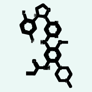 C=CC(=O)Nc1cc(Nc2cc(N3OCC[C@@H]3c3cc(F)ccc3F)ncn2)c(OC)cc1N1CCN(C)CC1